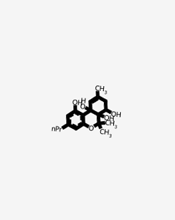 CCCc1cc(O)c2c(c1)OC(C)(C)C1(O)C(O)CC(C)=CC21O